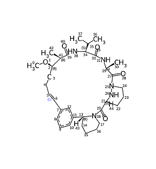 CO[C@@H]1CC/C=C/c2cccc(c2)[C@H]2CCCCN2C(=O)[C@@H]2CCCN(N2)C(=O)[C@H](C)NC(=O)[C@H](C(C)C)NC(=O)[C@@H]1C